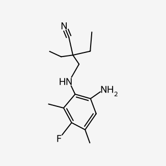 CCC(C#N)(CC)CNc1c(N)cc(C)c(F)c1C